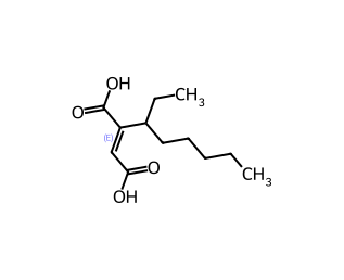 CCCCCC(CC)/C(=C\C(=O)O)C(=O)O